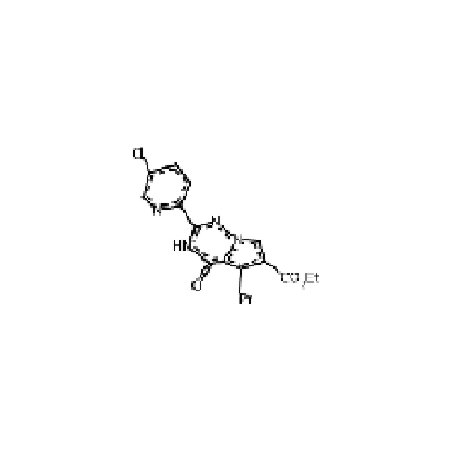 CCOC(=O)c1cn2nc(-c3ccc(Cl)cn3)[nH]c(=O)c2c1C(C)C